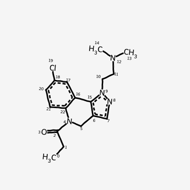 CCC(=O)N1Cc2cnn(CCN(C)C)c2-c2cc(Cl)ccc21